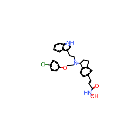 O=C(C=Cc1ccc2c(c1)CCC2N(CCOc1ccc(Cl)cc1)CCc1c[nH]c2ccccc12)NO